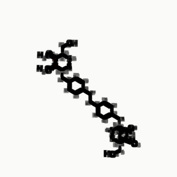 CN1C(=O)[C@@]2(CO)NC(=O)[C@]1(Cc1ccc(CCc3ccc(C[C@@]45SS[C@@](CO)(C(=O)N4C)N(C)C5=O)cc3)cc1)SS2